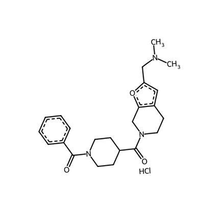 CN(C)Cc1cc2c(o1)CN(C(=O)C1CCN(C(=O)c3ccccc3)CC1)CC2.Cl